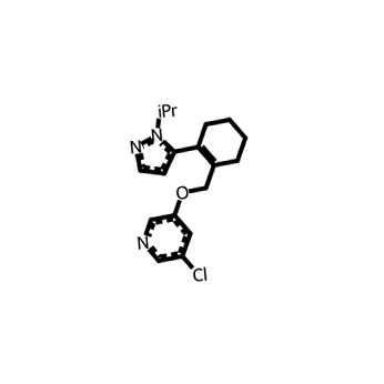 CC(C)n1nccc1C1=C(COc2cncc(Cl)c2)CCCC1